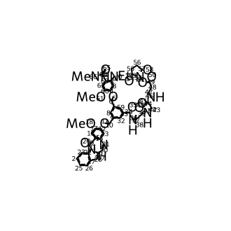 CCNc1cc(OCc2cc(COc3cc4c(cc3OC)C(=O)N3c5ccccc5C[C@H]3C=N4)cc(C(=O)N[C@@H](C)C(=O)N[C@@H](C)C(=O)NCCC(=O)ON3C(=O)CCC3=O)c2)c(OC)cc1C(=O)NC